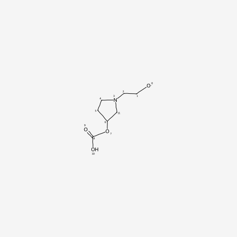 [O]CCN1CCC(OC(=O)O)C1